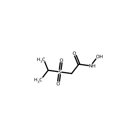 CC(C)S(=O)(=O)CC(=O)NO